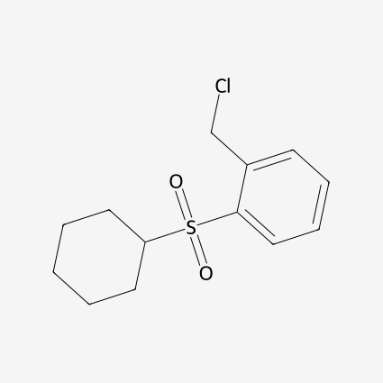 O=S(=O)(c1ccccc1CCl)C1CCCCC1